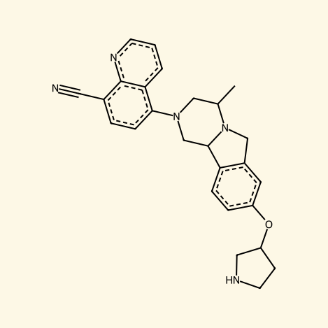 CC1CN(c2ccc(C#N)c3ncccc23)CC2c3ccc(OC4CCNC4)cc3CN12